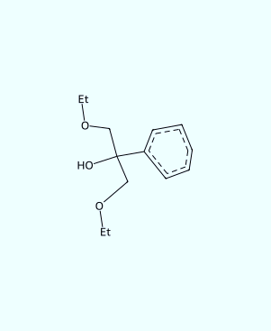 CCOCC(O)(COCC)c1ccccc1